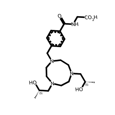 C[C@H](O)CN1CCN(Cc2ccc(C(=O)NCC(=O)O)cc2)CCN(C[C@H](C)O)CC1